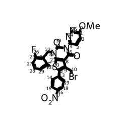 COc1ccc(-n2c(=O)c3c(CBr)c(-c4ccc([N+](=O)[O-])cc4)sc3n(Cc3c(F)cccc3F)c2=O)nn1